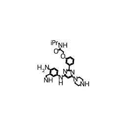 CC(C)NC(=O)COc1cccc(-c2nc(Nc3ccc(N)c(C=N)c3)cc(N3CCNCC3)n2)c1